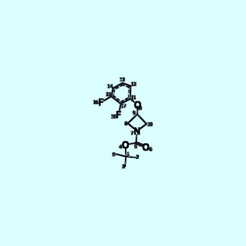 CC(C)(C)OC(=O)N1CC(Oc2cccc(F)c2F)C1